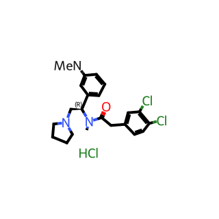 CNc1cccc([C@H](CN2CCCC2)N(C)C(=O)Cc2ccc(Cl)c(Cl)c2)c1.Cl